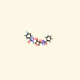 O=C(NC[C@H]1OC[C@@](O)(CNC(=O)c2ccccc2)[C@@H]1O)c1ccc(F)cc1